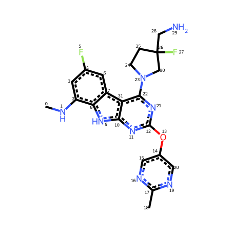 CNc1cc(F)cc2c1[nH]c1nc(Oc3cnc(C)nc3)nc(N3CCC(F)(CN)C3)c12